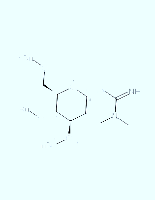 CCCCOC[C@H]1O[C@H](SC(=N)N(C)C)C[C@@H](OCCCC)[C@@H]1OCCCC